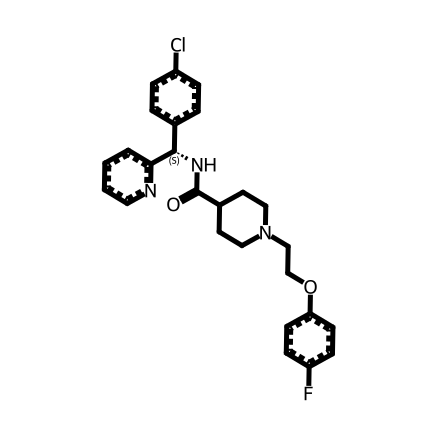 O=C(N[C@@H](c1ccc(Cl)cc1)c1ccccn1)C1CCN(CCOc2ccc(F)cc2)CC1